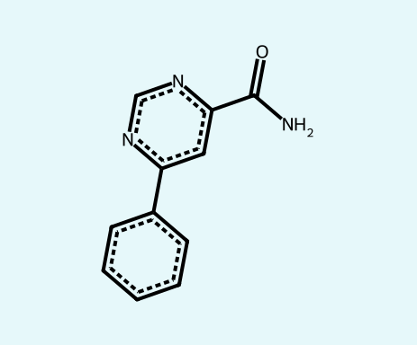 NC(=O)c1cc(-c2ccccc2)ncn1